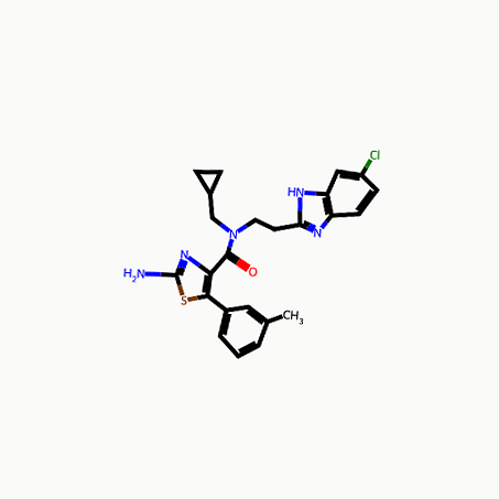 Cc1cccc(-c2sc(N)nc2C(=O)N(CCc2nc3ccc(Cl)cc3[nH]2)CC2CC2)c1